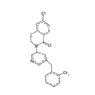 O=C1c2ccc(Cl)cc2CCN1c1cncc(Cc2ccccc2C(F)(F)F)c1